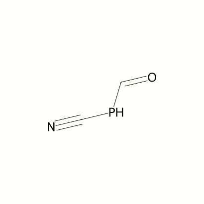 N#CPC=O